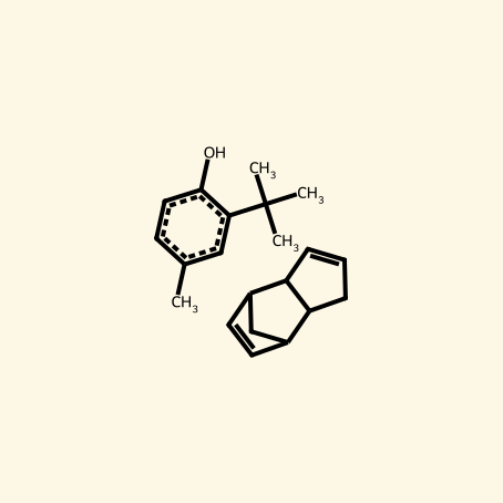 C1=CC2C3C=CC(C3)C2C1.Cc1ccc(O)c(C(C)(C)C)c1